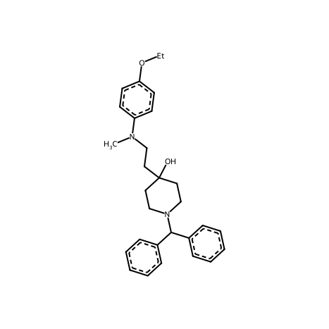 CCOc1ccc(N(C)CCC2(O)CCN(C(c3ccccc3)c3ccccc3)CC2)cc1